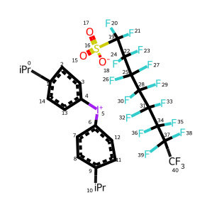 CC(C)c1ccc([I+]c2ccc(C(C)C)cc2)cc1.O=S(=O)([O-])C(F)(F)C(F)(F)C(F)(F)C(F)(F)C(F)(F)C(F)(F)C(F)(F)C(F)(F)F